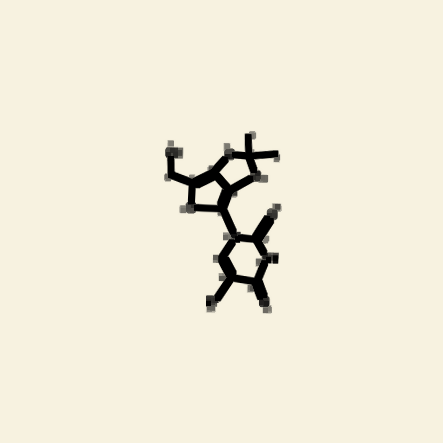 CC1(C)Oc2c(CO)oc(-n3cc(Br)c(=O)[nH]c3=O)c2O1